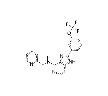 FC(F)(F)Oc1cccc(-c2nc3c(NCc4ccccn4)nccc3[nH]2)c1